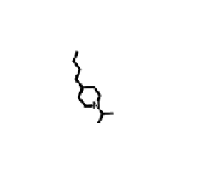 CCCCC1CCN(C(C)C)CC1